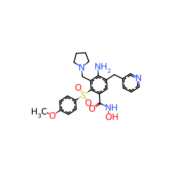 COc1ccc(S(=O)(=O)c2c(C(=O)NO)cc(Cc3cccnc3)c(N)c2CN2CCCC2)cc1